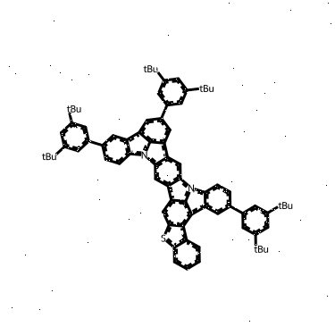 CC(C)(C)c1cc(-c2ccc3c(c2)c2cc(-c4cc(C(C)(C)C)cc(C(C)(C)C)c4)cc4c5cc6c(cc5n3c24)c2cc3sc4ccccc4c3c3c4cc(-c5cc(C(C)(C)C)cc(C(C)(C)C)c5)ccc4n6c23)cc(C(C)(C)C)c1